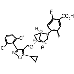 O=C(O)c1cc(F)c(N2C[C@@H]3C[C@H]2C[C@H]3OCc2c(-c3c(Cl)cccc3Cl)noc2C2CC2)cc1F